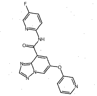 O=C(Nc1ccc(F)cn1)c1cc(Oc2cccnc2)cn2ncnc12